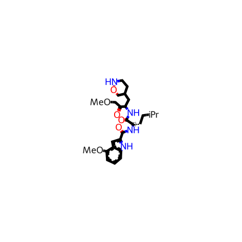 COCC(=O)C(CC1CCNOC1)NC(=O)[C@H](CCC(C)C)NC(=O)c1cc2c(OC)cccc2[nH]1